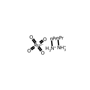 CCC[NH3+].CCC[NH3+].[O]=[Ru-2](=[O])(=[O])=[O]